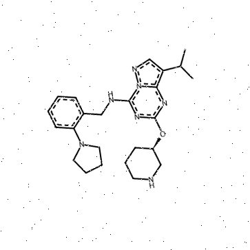 CC(C)c1cnn2c(NCc3ccccc3N3CCCC3)nc(O[C@@H]3CCCNC3)nc12